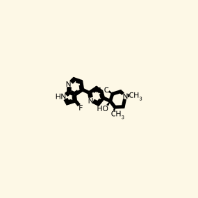 C[C@@H]1CN(C)C[C@H](C)[C@@]1(O)c1ccc(-c2ccnc3[nH]cc(F)c23)nc1